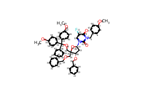 COc1ccc(Cn2c(=O)c(F)cn([C@H]3C[C@H](OCc4ccccc4)[C@](COCc4ccccc4)(COC(c4ccccc4)(c4ccc(OC)cc4)c4ccc(OC)cc4)O3)c2=O)cc1